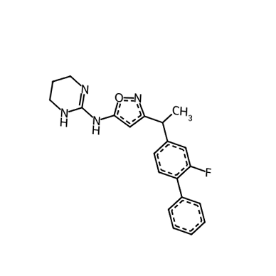 CC(c1ccc(-c2ccccc2)c(F)c1)c1cc(NC2=NCCCN2)on1